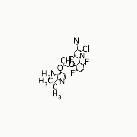 CC(C)c1nccc(O[C@@H](C)COc2c(F)ccc(F)c2-c2nc(Cl)c(C#N)cc2F)c1N